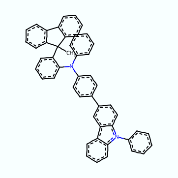 CC1(c2ccccc2N(c2ccccc2)c2ccc(-c3ccc4c(c3)c3ccccc3n4-c3ccccc3)cc2)c2ccccc2-c2ccccc21